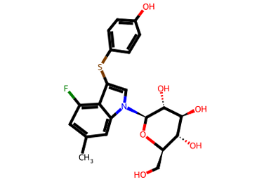 Cc1cc(F)c2c(Sc3ccc(O)cc3)cn([C@@H]3O[C@H](CO)[C@@H](O)[C@H](O)[C@H]3O)c2c1